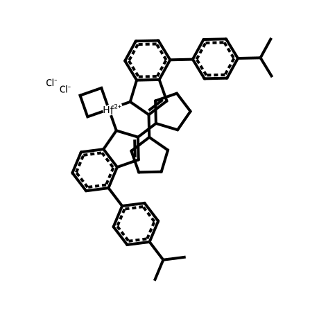 CC(C)c1ccc(-c2cccc3c2C=C(C2CCCC2)[CH]3[Hf+2]2([CH]3C(C4CCCC4)=Cc4c(-c5ccc(C(C)C)cc5)cccc43)[CH2]C[CH2]2)cc1.[Cl-].[Cl-]